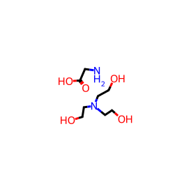 NCC(=O)O.OCCN(CCO)CCO